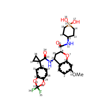 COc1ccc2c(c1)O[C@@H](C(=O)NC1CCS(O)(O)CC1)C[C@@H]2NC(=O)C1(c2ccc3c(c2)OC(F)(F)O3)CC1